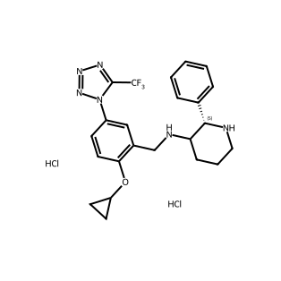 Cl.Cl.FC(F)(F)c1nnnn1-c1ccc(OC2CC2)c(CNC2CCCN[C@H]2c2ccccc2)c1